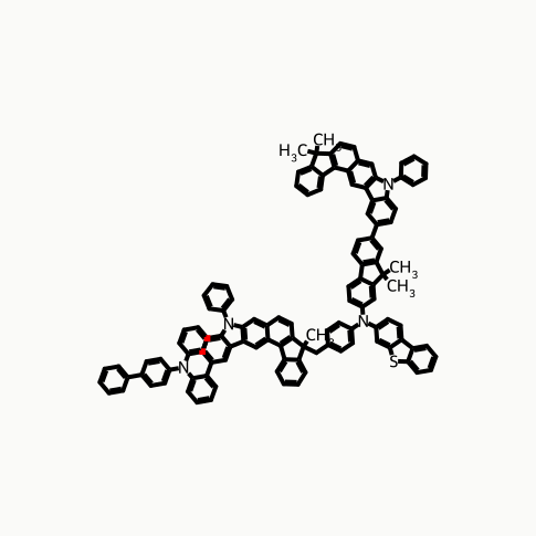 CC1(C)c2cc(-c3ccc4c(c3)c3cc5c6c(ccc5cc3n4-c3ccccc3)C(C)(C)c3ccccc3-6)ccc2-c2ccc(N(c3ccc(CC4(C)c5ccccc5-c5c4ccc4cc6c(cc54)c4cc(-c5ccccc5N(c5ccccc5)c5ccc(-c7ccccc7)cc5)ccc4n6-c4ccccc4)cc3)c3ccc4c(c3)sc3ccccc34)cc21